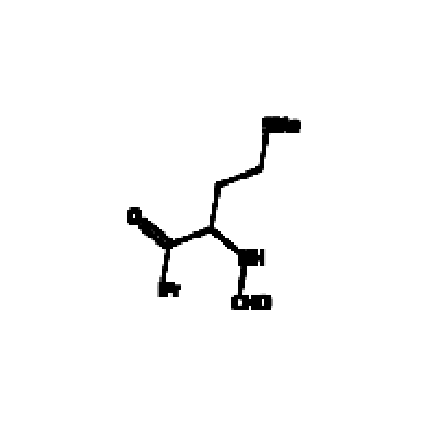 CSCCC(NC=O)C(=O)C(C)C